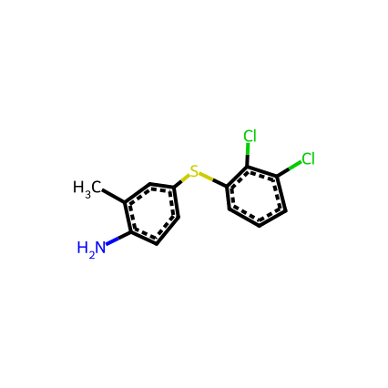 Cc1cc(Sc2cccc(Cl)c2Cl)ccc1N